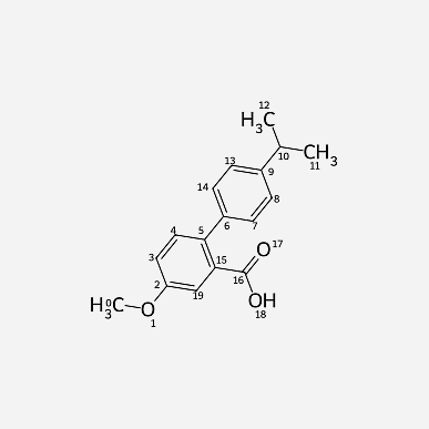 COc1ccc(-c2ccc(C(C)C)cc2)c(C(=O)O)c1